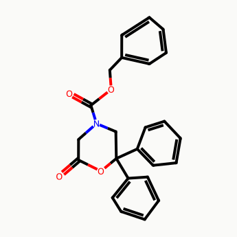 O=C1CN(C(=O)OCc2ccccc2)CC(c2ccccc2)(c2ccccc2)O1